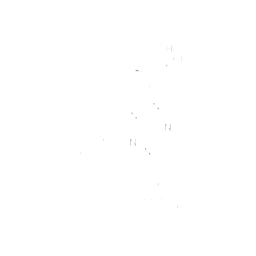 C#C[C@]1(CO)O[C@@H](n2cnc3/c(=N/Cc4oc(=O)oc4C)n(Cc4oc(=O)oc4C)c(F)nc32)C[C@@H]1O